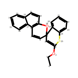 CCOC1=CC2(C=Cc3c(ccc4ccccc34)O2)c2ccccc2S1